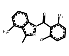 Cc1cccc2c1c(I)nn2C(=O)c1c(Cl)cccc1C(F)(F)F